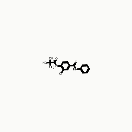 CC(O)(C(=O)Nc1ccc(C(=O)Nc2ccccc2)cc1Cl)C(F)(F)F